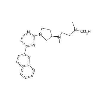 CN(CCN(C)[C@@H]1CCN(c2nccc(-c3ccc4ccccc4c3)n2)C1)C(=O)O